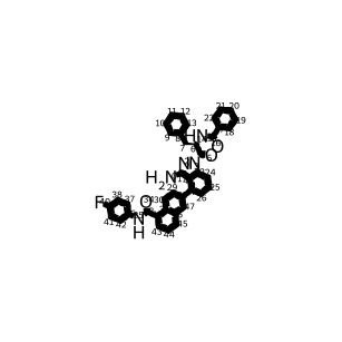 Nc1nn(C(=O)[C@@H](Cc2ccccc2)NC(=O)c2ccccc2)c2cccc(-c3ccc4c(C(=O)Nc5ccc(F)cc5)cccc4c3)c12